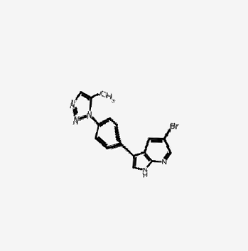 Cc1cnnn1-c1ccc(-c2c[nH]c3ncc(Br)cc23)cc1